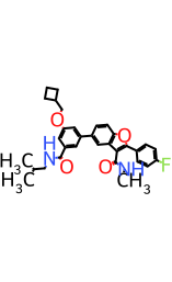 CNC(=O)c1c(-c2ccc(F)cc2)oc2ccc(-c3cc(OCC4CCC4)cc(C(=O)NCC(C)C)c3)cc12